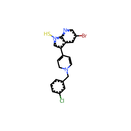 Sn1cc(C2=CCN(Cc3cccc(Cl)c3)C=C2)c2cc(Br)cnc21